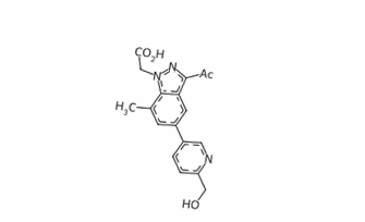 CC(=O)c1nn(CC(=O)O)c2c(C)cc(-c3ccc(CO)nc3)cc12